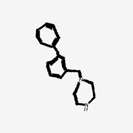 [c]1ccc(-c2ccccc2)cc1CN1CCNCC1